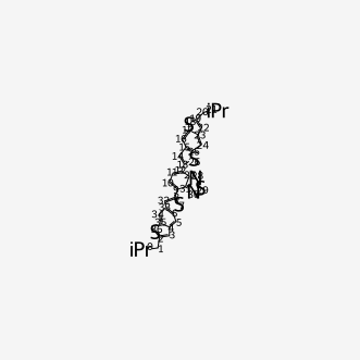 CC(C)Cc1cc2cc3sc(-c4ccc(-c5cc6cc7sc(CC(C)C)cc7cc6s5)c5nsnc45)cc3cc2s1